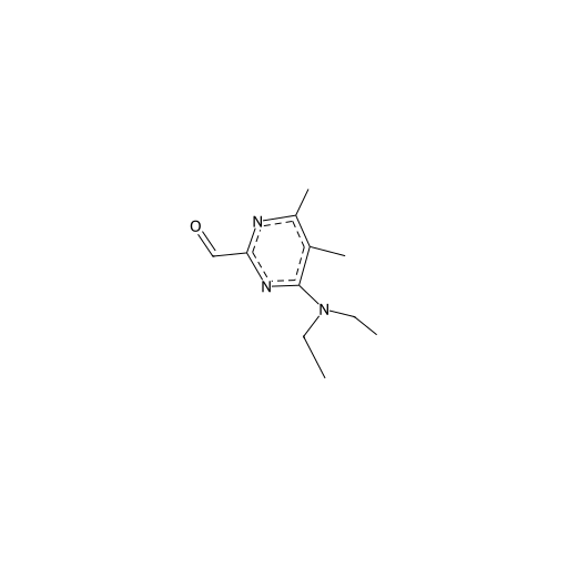 CCN(CC)c1nc(C=O)nc(C)c1C